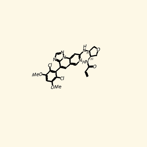 C=CC(=O)N[C@@H]1COC[C@@H]1Nc1cc2c(cn1)cc(-c1c(Cl)c(OC)cc(OC)c1Cl)c1ncnn12